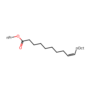 CCCCCCCC/C=C\CCCCCCCC(=O)OCCC